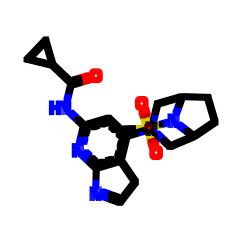 CS(=O)(=O)N1C2CCC1CN(c1cc(NC(=O)C3CC3)nc3c1CC=N3)C2